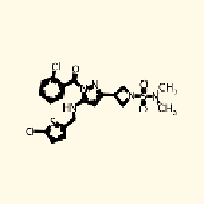 CN(C)S(=O)(=O)N1CC(c2cc(NCc3ccc(Cl)s3)n(C(=O)c3ccccc3Cl)n2)C1